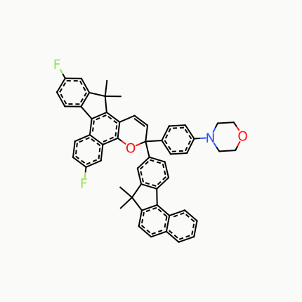 CC1(C)c2cc(C3(c4ccc(N5CCOCC5)cc4)C=Cc4c5c(c6ccc(F)cc6c4O3)-c3ccc(F)cc3C5(C)C)ccc2-c2c1ccc1ccccc21